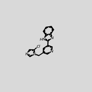 Clc1cncn1Cc1cncc(-c2nc3ccccc3[nH]2)c1